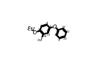 CCOc1ccc(Oc2ccccc2)cc1I